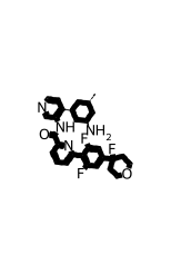 C[C@@H]1C[C@H](N)C[C@H](c2ccncc2NC(=O)c2cccc(-c3c(F)cc(C4(F)CCOCC4)cc3F)n2)C1